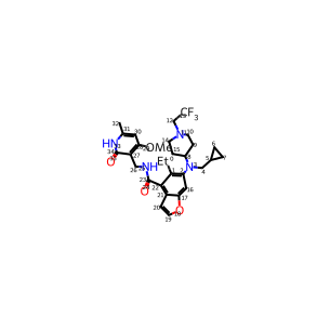 CCc1c(N(CC2CC2)C2CCN(CC(F)(F)F)CC2)cc2occc2c1C(=O)NCc1c(OC)cc(C)[nH]c1=O